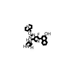 Oc1cc(-c2ncc3c(N4C[C@@H]5C[C@H]4CN5)nc(OCC45CCCN4CCC5)nc3c2F)c2ccccc2c1